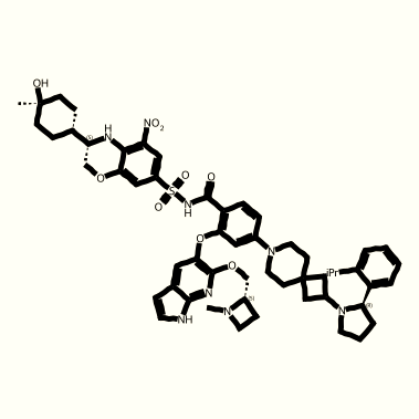 CC(C)c1ccccc1[C@H]1CCCN1C1CC2(CCN(c3ccc(C(=O)NS(=O)(=O)c4cc5c(c([N+](=O)[O-])c4)N[C@@H]([C@H]4CC[C@](C)(O)CC4)CO5)c(Oc4cc5cc[nH]c5nc4OC[C@@H]4CCN4C)c3)CC2)C1